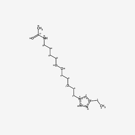 C[CH]c1cn(CCOCCOOCCCCNC(C)=O)nn1